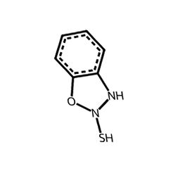 SN1Nc2ccccc2O1